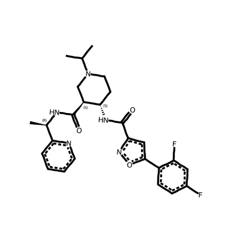 CC(C)N1CC[C@H](NC(=O)c2cc(-c3ccc(F)cc3F)on2)[C@@H](C(=O)N[C@H](C)c2ccccn2)C1